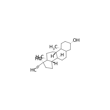 C#C[C@]1(O)CC[C@H]2[C@@H]3CCC4C[C@@H](O)CC[C@]4(C)[C@H]3CC[C@@]21C